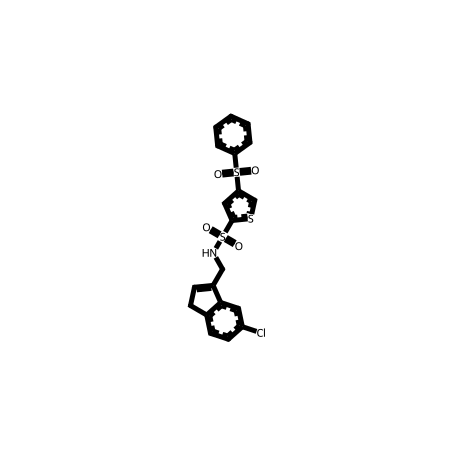 O=S(=O)(NCC1=CCc2ccc(Cl)cc21)c1cc(S(=O)(=O)c2ccccc2)cs1